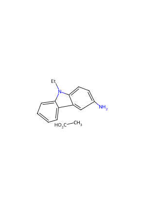 CC(=O)O.CCn1c2ccccc2c2cc(N)ccc21